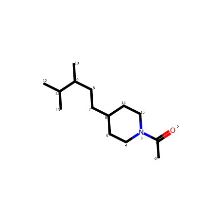 CC(=O)N1CCC(CCC(C)C(C)C)CC1